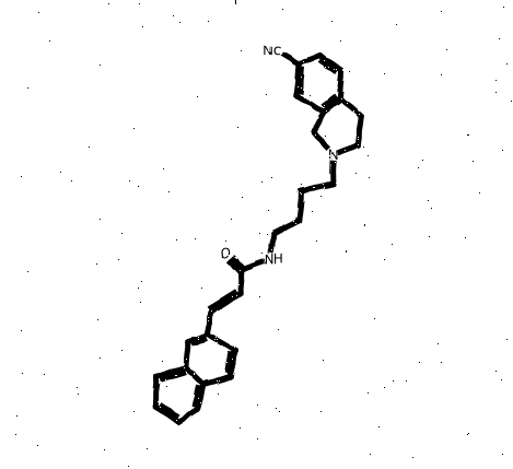 N#Cc1ccc2c(c1)CN(CCCCNC(=O)C=Cc1ccc3ccccc3c1)CC2